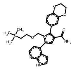 C[Si](C)(C)CCOCn1c(-c2ccnc3[nH]ccc23)cc(C(N)=O)c1-c1ccc2c(c1)OCCO2